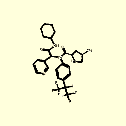 O=C(NC1CCCCC1)C(c1cccnc1)N(C(=O)[C@H]1C[C@@H](O)CN1)c1ccc(C(F)(C(F)(F)F)C(F)(F)F)cc1